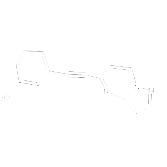 COc1cccc(C#Cc2ccn3nccc3n2)c1